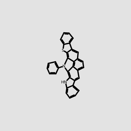 c1ccc(-n2c3c4[nH]c5ccccc5c4cc4ccc5cc6c7ccccc7sc6c2c5c43)cc1